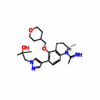 CC(=N)N1c2ccc(-c3cnn(CC(C)(C)O)c3)c(OCC3CCOCC3)c2CC[C@@H]1C